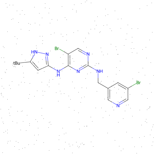 CC(C)(C)c1cc(Nc2nc(NCc3cncc(Br)c3)ncc2Br)n[nH]1